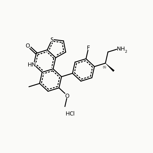 COc1cc(C)c2[nH]c(=O)c3sccc3c2c1-c1ccc([C@H](C)CN)c(F)c1.Cl